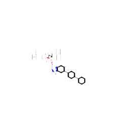 CC(OCn1cnc2cc(-c3ccc(-c4ccccc4)cc3)c(Cl)cc21)[Si](C)(C)C